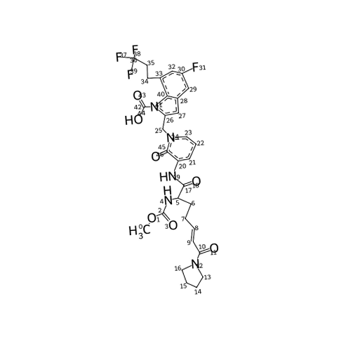 COC(=O)NC(CCC=CC(=O)N1CCCC1)C(=O)Nc1cccn(Cc2cc3cc(F)cc(CCC(F)(F)F)c3n2C(=O)O)c1=O